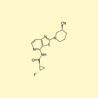 N#C[C@H]1CCCN(c2nc3ccnc(NC(=O)[C@H]4C[C@@H]4F)c3s2)C1